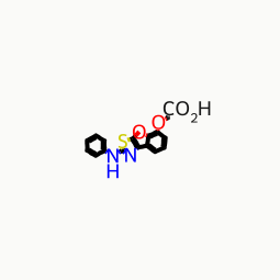 O=C(O)COc1cccc2c1oc1sc(Nc3ccccc3)nc12